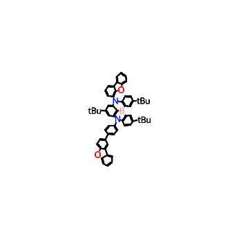 CC(C)(C)c1ccc2c(c1)B1c3cc(C(C)(C)C)ccc3N(c3cccc4c3oc3ccccc34)c3cc(C(C)(C)C)cc(c31)N2c1ccc(-c2ccc3oc4ccccc4c3c2)cc1